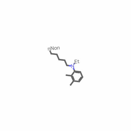 CCCCCCCCCCCCCCN(CC)c1cccc(C)c1C